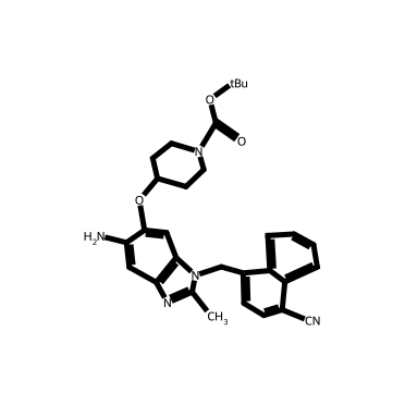 Cc1nc2cc(N)c(OC3CCN(C(=O)OC(C)(C)C)CC3)cc2n1Cc1ccc(C#N)c2ccccc12